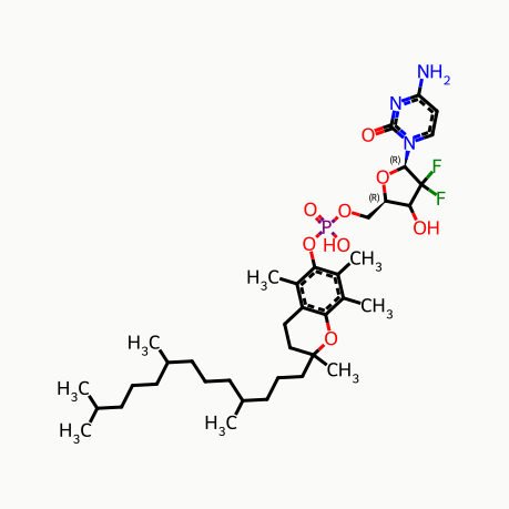 Cc1c(C)c2c(c(C)c1OP(=O)(O)OC[C@H]1O[C@@H](n3ccc(N)nc3=O)C(F)(F)C1O)CCC(C)(CCCC(C)CCCC(C)CCCC(C)C)O2